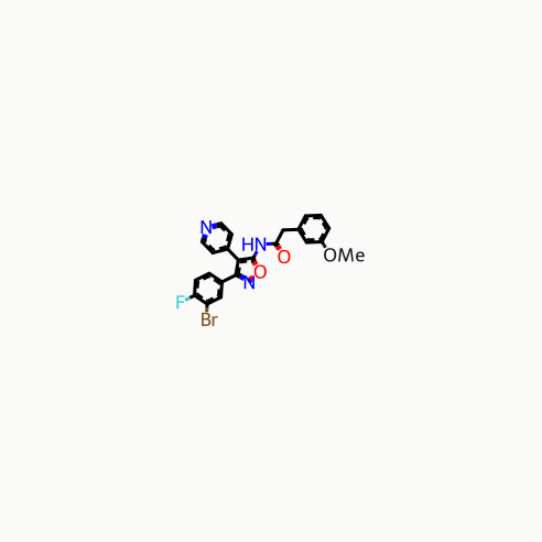 COc1cccc(CC(=O)Nc2onc(-c3ccc(F)c(Br)c3)c2-c2ccncc2)c1